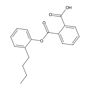 CCCCc1ccccc1OC(=O)c1ccccc1C(=O)O